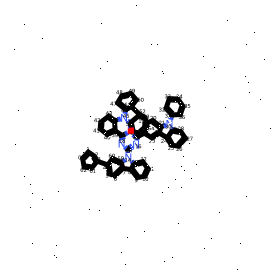 c1ccc(-c2ccc3c4ccccc4n(-c4nc(-c5ccc6c(c5)c5ccccc5n6-c5ccccc5)nc(-c5ccccc5-n5c6ccccc6c6ccccc65)n4)c3c2)cc1